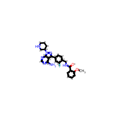 COc1ccccc1C(=O)NCc1ccc(-c2nn(C3CCCNC3)c3ncnc(N)c23)cc1F